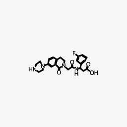 O=C(O)CC(NC(=O)CN1CCc2ccc(N3CCNCC3)cc2C1=O)c1cccc(F)c1